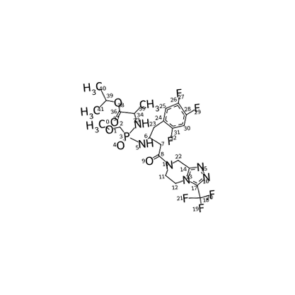 COCP(=O)(NC(CC(=O)N1CCn2c(nnc2C(F)(F)F)C1)Cc1cc(F)c(F)cc1F)NC(C)C(=O)OC(C)C